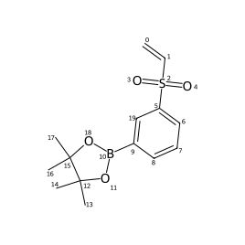 C=CS(=O)(=O)c1cccc(B2OC(C)(C)C(C)(C)O2)c1